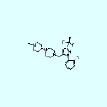 CN1CCC(N2CCN(Cc3cc(C(F)(F)F)nn3-c3ccccc3Cl)CC2)CC1